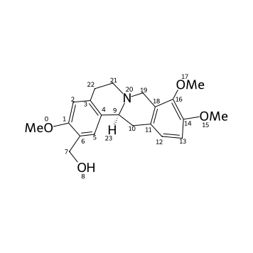 COc1cc2c(cc1CO)[C@@H]1Cc3ccc(OC)c(OC)c3CN1CC2